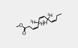 [2H]C([2H])(/C=C\CC)/C=C\C([2H])([2H])/C=C\CC(=O)OC